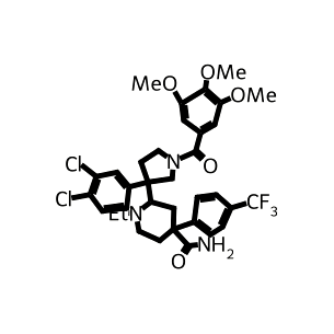 CCN1CCC(C(N)=O)(c2ccc(C(F)(F)F)cc2)CC1C1(c2ccc(Cl)c(Cl)c2)CCN(C(=O)c2cc(OC)c(OC)c(OC)c2)C1